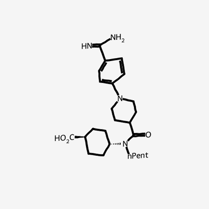 CCCCCN(C(=O)C1CCN(c2ccc(C(=N)N)cc2)CC1)[C@H]1CC[C@H](C(=O)O)CC1